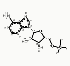 C[Si](C)(C)OC[C@H]1O[C@@H](n2cnc3c(N)ncnc32)[C@@H](O)[C@@H]1O